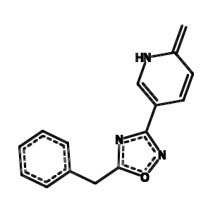 C=C1C=CC(c2noc(Cc3ccccc3)n2)=CN1